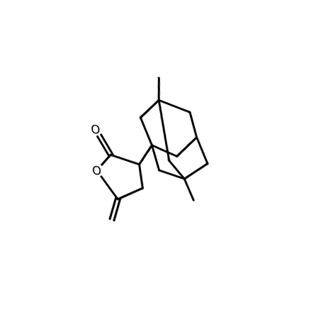 C=C1CC(C23CC4CC(C)(CC(C)(C4)C2)C3)C(=O)O1